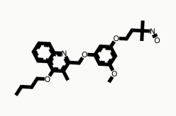 CCCCOc1c(C)c(COc2cc(OC)cc(OCCC(C)(C)N=O)c2)nc2ccccc12